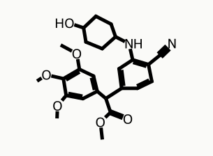 COC(=O)C(c1ccc(C#N)c(NC2CCC(O)CC2)c1)c1cc(OC)c(OC)c(OC)c1